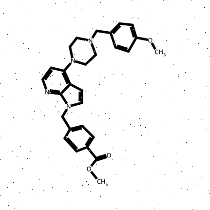 COC(=O)c1ccc(Cn2ccc3c(N4CCN(Cc5ccc(OC)cc5)CC4)ccnc32)cc1